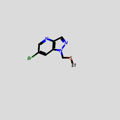 CCSCn1ncc2ncc(Br)cc21